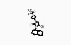 CS(=O)(=O)N1CC(N2C[C@@H](C#N)N(c3cncc4ccccc34)C2=O)C1